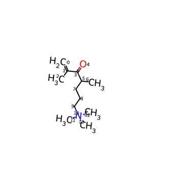 C=C(C)C(=O)C(C)CCC[N+](C)(C)C